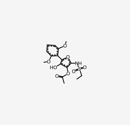 CCS(=O)(=O)Nc1oc(-c2c(OC)cccc2OC)c(O)c1OC(C)=O